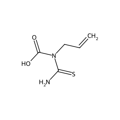 C=CCN(C(=O)O)C(N)=S